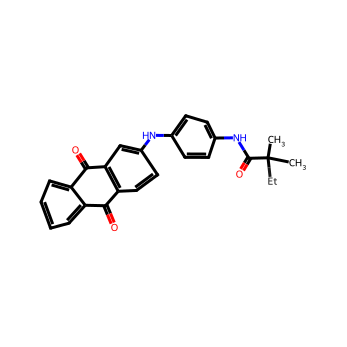 CCC(C)(C)C(=O)Nc1ccc(Nc2ccc3c(c2)C(=O)c2ccccc2C3=O)cc1